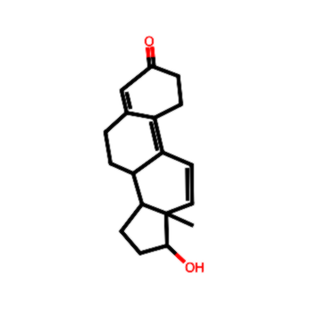 CC12C=CC3=C4CCC(=O)C=C4CCC3C1CCC2O